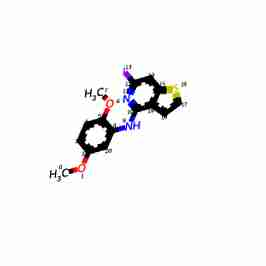 COc1ccc(OC)c(Nc2nc(I)cc3sccc23)c1